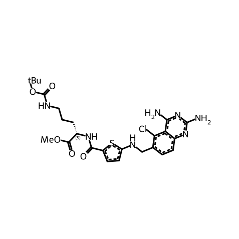 COC(=O)[C@H](CCCNC(=O)OC(C)(C)C)NC(=O)c1ccc(NCc2ccc3nc(N)nc(N)c3c2Cl)s1